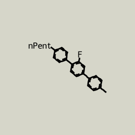 CCCCCc1ccc(-c2ccc(-c3ccc(C)cc3)cc2F)cc1